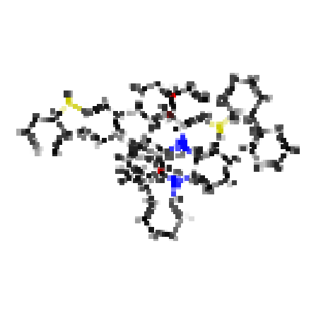 c1ccc(-c2c(-c3ccc4sc5ccccc5c4c3)cccc2N(c2ccccc2-n2c3ccccc3c3ccccc32)c2cccc3c2sc2c(-c4ccccc4)cccc23)cc1